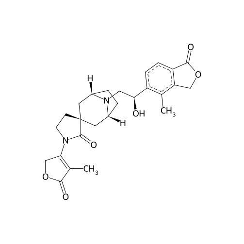 CC1=C(N2CC[C@@]3(C[C@H]4CC[C@@H](C3)N4C[C@H](O)c3ccc4c(c3C)COC4=O)C2=O)COC1=O